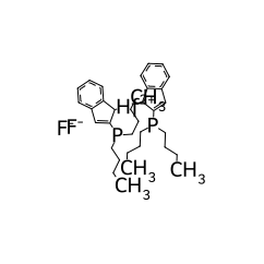 CCCCP(CCCC)C1=Cc2ccccc2[CH]1[Hf+2][CH]1C(P(CCCC)CCCC)=Cc2ccccc21.[F-].[F-]